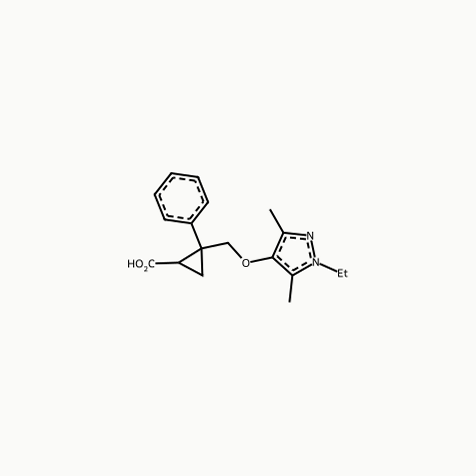 CCn1nc(C)c(OCC2(c3ccccc3)CC2C(=O)O)c1C